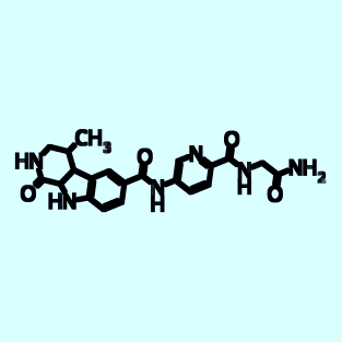 CC1CNC(=O)C2Nc3ccc(C(=O)Nc4ccc(C(=O)NCC(N)=O)nc4)cc3C12